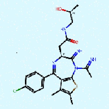 CC(=N)N1C(=N)[C@H](CC(=O)NC[C@H](C)O)N=C(c2ccc(Cl)cc2)c2c1sc(C)c2C